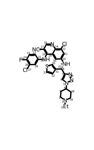 CCN1CCC(n2cc([C@@H](Nc3cc(Cl)c4ncc(C#N)c(Nc5ccc(F)c(Cl)c5)c4c3)c3ccsc3)nn2)CC1